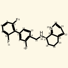 Fc1cc(-c2c(F)cccc2F)ccc1CN[C@@H]1CCCc2cccnc21